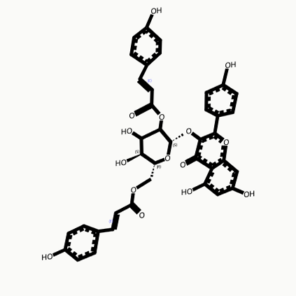 O=C(/C=C/c1ccc(O)cc1)OC[C@H]1O[C@@H](Oc2c(-c3ccc(O)cc3)oc3cc(O)cc(O)c3c2=O)C(OC(=O)/C=C/c2ccc(O)cc2)C(O)[C@@H]1O